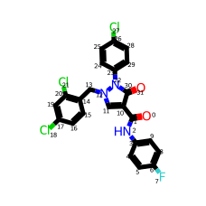 O=C(Nc1ccc(F)cc1)c1cn(Cc2ccc(Cl)cc2Cl)n(-c2ccc(Cl)cc2)c1=O